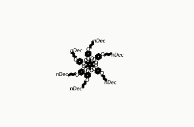 CCCCCCCCCCCCCCOc1ccc(OC(=O)c2c(C(=O)Oc3ccc(OCCCCCCCCCCCCCC)cc3)c(C(=O)Oc3ccc(OCCCCCCCCCCCCCC)cc3)c(C(=O)Oc3ccc(OCCCCCCCCCCCCCC)cc3)c(C(=O)Oc3ccc(OCCCCCCCCCCCCCC)cc3)c2C(=O)Oc2ccc(OCCCCCCCCCCCCCC)cc2)cc1